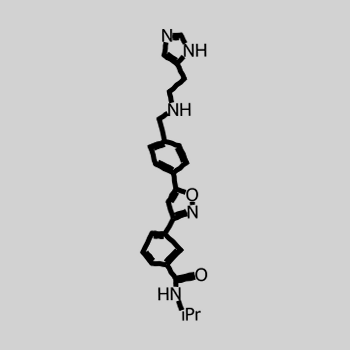 CC(C)NC(=O)c1cccc(-c2cc(-c3ccc(CNCCc4cnc[nH]4)cc3)on2)c1